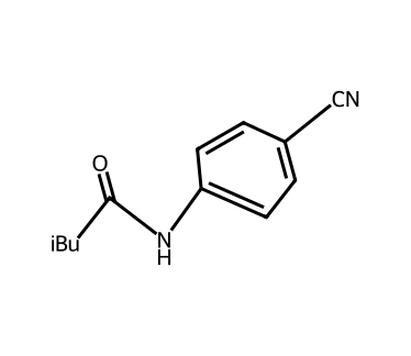 CCC(C)C(=O)Nc1ccc(C#N)cc1